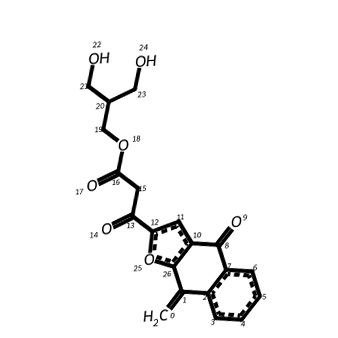 C=C1c2ccccc2C(=O)c2cc(C(=O)CC(=O)OCC(CO)CO)oc21